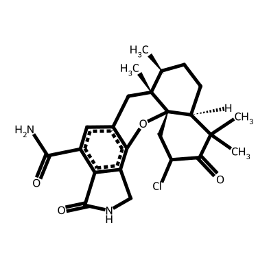 C[C@H]1CC[C@H]2C(C)(C)C(=O)C(Cl)C[C@]23Oc2c(cc(C(N)=O)c4c2CNC4=O)C[C@]13C